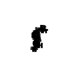 CC[C@H](CC[C@@H](C)[C@H]1CCC2[C@@H]3CC=C4C[C@@H](OC(=O)NCCN(C)C)CC[C@]4(C)C3CC[C@@]21C)C(C)C